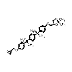 CC1(C)OCC(COc2ccc(C(C)(C)c3ccc(C(C)(C)c4ccc(OCC5CO5)cc4)cc3)cc2)O1